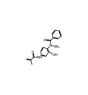 C=C(C)C(=O)Nc1ccc(N(C(=O)c2ccccc2)C(C)(C)C)c(O)c1